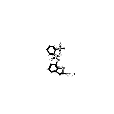 CS(=O)(=O)c1ccccc1S(=O)(=O)Nc1cccc2cc(C(=O)O)[nH]c12